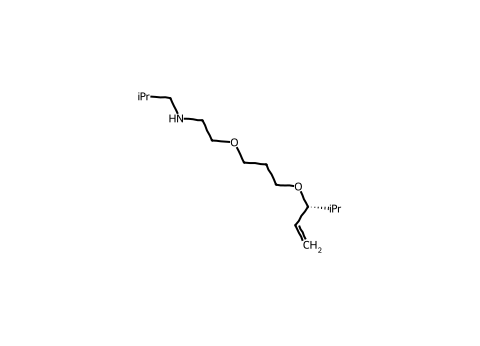 C=C[C@H](OCCCOCCNCC(C)C)C(C)C